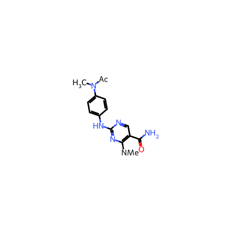 CNc1nc(Nc2ccc(N(C)C(C)=O)cc2)ncc1C(N)=O